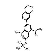 CC(C)c1cc(-c2ccc3c(c2)COCC3)cc(C(C)C)c1CC(=O)OC(C)(C)C